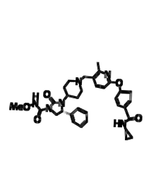 CONC(=O)N1C[C@@H](c2ccccc2)N(C2CCN(Cc3ccc(Oc4ccc(C(=O)NC5CC5)cc4)nc3C)CC2)C1=O